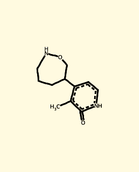 Cc1c(C2CCCNOC2)cc[nH]c1=O